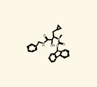 CN(C(=O)OC1c2ccccc2-c2ccccc21)C(CC1CC1)C(O)C(=O)NCc1ccccc1